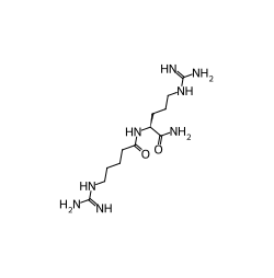 N=C(N)NCCCCC(=O)N[C@@H](CCCNC(=N)N)C(N)=O